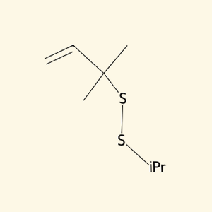 C=CC(C)(C)SSC(C)C